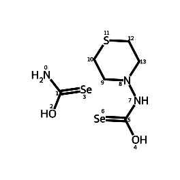 NC(O)=[Se].OC(=[Se])NN1CCSCC1